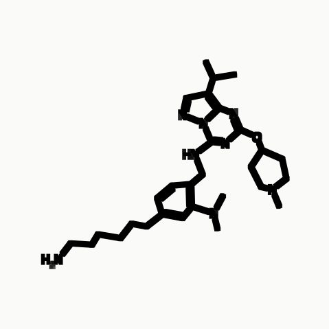 CC(C)c1cnn2c(NCc3ccc(CCCCCCN)cc3N(C)C)nc(OC3CCN(C)CC3)nc12